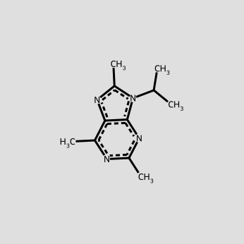 Cc1nc(C)c2nc(C)n(C(C)C)c2n1